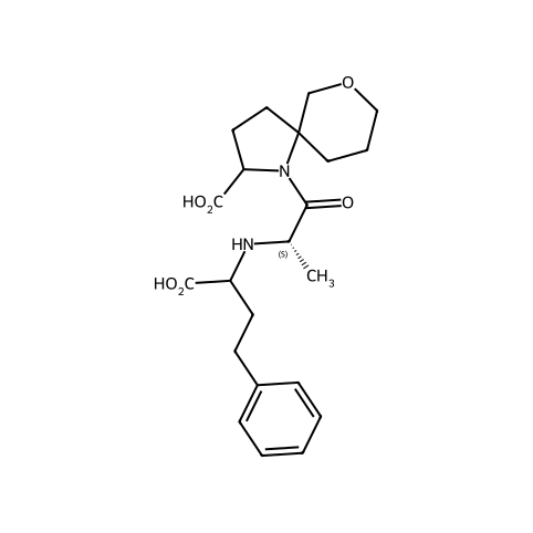 C[C@H](NC(CCc1ccccc1)C(=O)O)C(=O)N1C(C(=O)O)CCC12CCCOC2